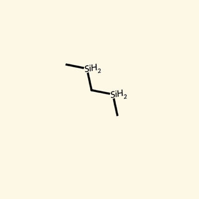 C[SiH2]C[SiH2]C